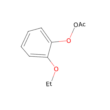 CCOc1ccccc1OOC(C)=O